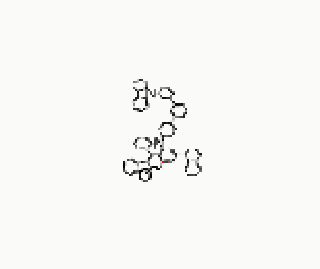 c1cc(-c2ccc(N(c3cccc(-c4cccc5ccccc45)c3)c3ccccc3-c3cccc4oc5ccccc5c34)cc2)cc(-c2cccc(-n3c4ccccc4c4ccccc43)c2)c1